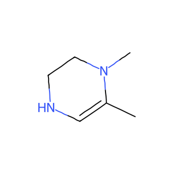 CC1=CNCCN1C